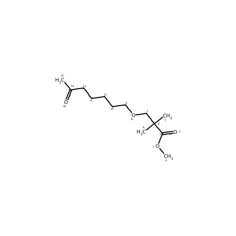 COC(=O)C(C)(C)COCCCCCC(C)=O